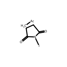 CC(C)=O.O=C1CCC(=O)N1I